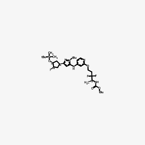 C[C@H](NC(=O)OC(C)(C)C)C(F)(F)CCOc1cc(Nc2cc([C@H]3C[C@@H](F)[C@@H](O[Si](C)(C)C(C)(C)C)C3)nn2C(C)(C)C)ccn1